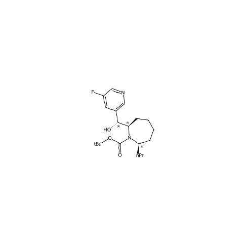 CCC[C@@H]1CCCC[C@H]([C@H](O)c2cncc(F)c2)N1C(=O)OC(C)(C)C